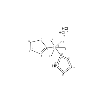 Cl.Cl.[CH3][Ti]([CH3])([CH3])([CH3])([C]1=CC=CC1)[c]1ccc[pH]1